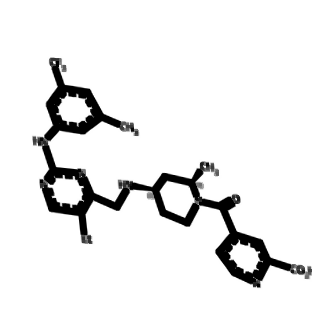 CCc1cnc(Nc2cc(C)cc(C(F)(F)F)c2)nc1CN[C@@H]1CCN(C(=O)c2ccnc(C(=O)O)c2)[C@H](C)C1